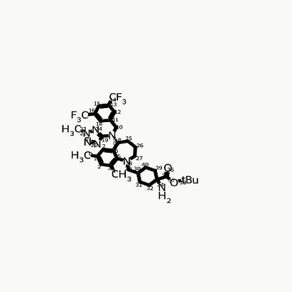 Cc1cc(C)c2c(c1)[C@@H](N(Cc1cc(C(F)(F)F)cc(C(F)(F)F)c1)c1nnn(C)n1)CCCN2CC1CCC(N)(C(=O)OC(C)(C)C)CC1